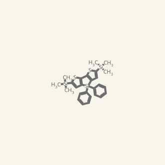 C[Si](C)(C)c1cc2c(s1)-c1sc([Si](C)(C)C)cc1[Si]2(c1ccccc1)c1ccccc1